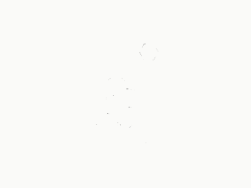 C[C@@H](C(=O)N1C(=O)OCC1Cc1ccccc1)[C@@H](O)[C@@H]1C[C@H](F)CN1C(=O)OC(C)(C)C